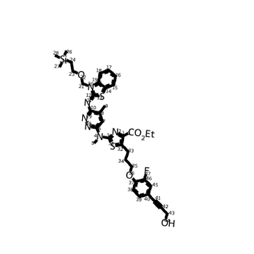 CCOC(=O)c1nc(N(C)c2cc(C)c(/N=c3\sc4ccccc4n3COCC[Si](C)(C)C)nn2)sc1CCCOc1ccc(C#CCO)cc1F